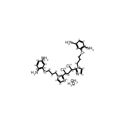 Nc1ccc(N)c(OCCCN2C=C[N+]=C2C(Cl)CC(Cl)C2=[N+]C=CN2CCCOc2cc(N)ccc2N)c1.O.O